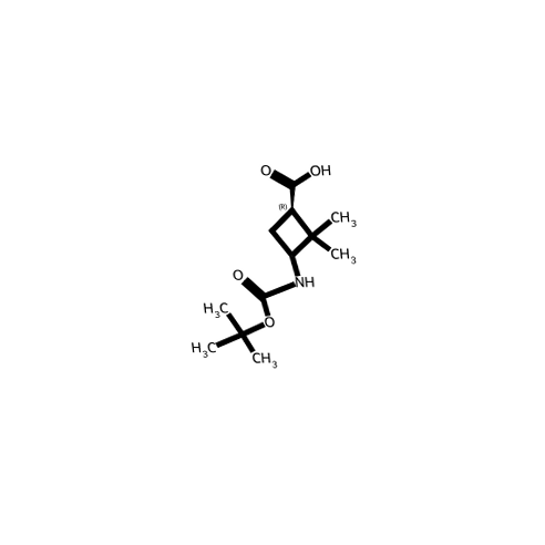 CC(C)(C)OC(=O)NC1C[C@@H](C(=O)O)C1(C)C